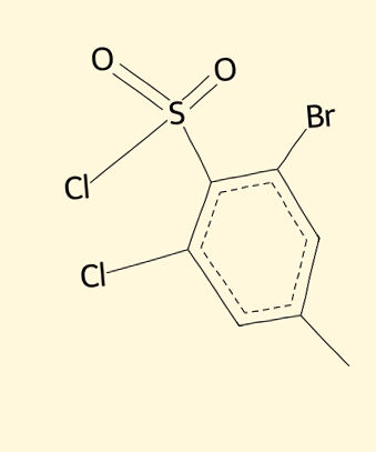 Cc1cc(Cl)c(S(=O)(=O)Cl)c(Br)c1